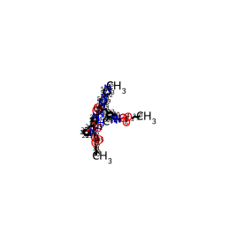 CCCCOC(=O)OCn1cc2cc(CC(NC(=O)N3CCC(c4cc5ccccc5n(COC(=O)OCCCC)c4=O)CC3)C(=O)N3CCN(C4CCN(C)CC4)CC3)cc(C)c2n1